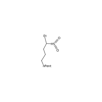 CCCCCCCCC(CC)[SH](=O)=O